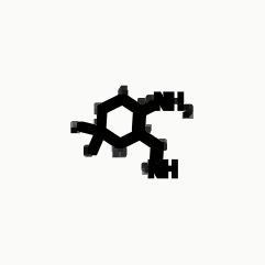 CC1(C)CCC(N)=C(C=N)C1